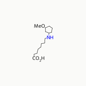 COC1CCCC(NCCCCCCCC(=O)O)C1